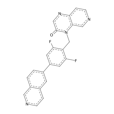 O=c1cnc2ccncc2n1Cc1c(F)cc(-c2ccc3cnccc3c2)cc1F